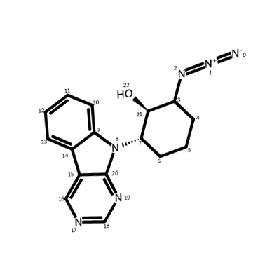 [N-]=[N+]=NC1CCC[C@H](n2c3ccccc3c3cncnc32)[C@H]1O